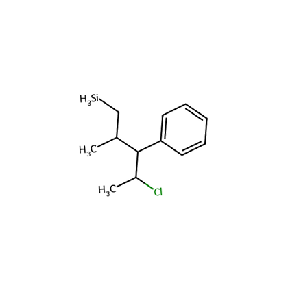 CC(Cl)C(c1ccccc1)C(C)C[SiH3]